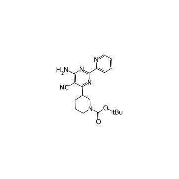 CC(C)(C)OC(=O)N1CCCC(c2nc(-c3ccccn3)nc(N)c2C#N)C1